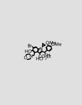 CCOC(=O)c1c(C(S)c2ccc(OC)c(OC)c2)n(C2CC2)c2cc(Br)c(O)c(CN3CCOCC3)c12.Cl